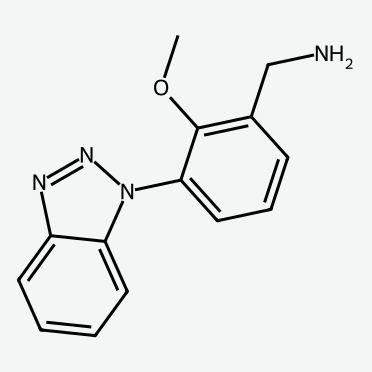 COc1c(CN)cccc1-n1nnc2ccccc21